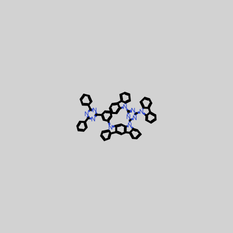 c1ccc(-c2nc(-c3ccccc3)nc(-c3cccc(-n4c5ccccc5c5cc6c7ccccc7n(-c7nc(-n8c9ccccc9c9ccccc98)nc(-n8c9ccccc9c9ccccc98)n7)c6cc54)c3)n2)cc1